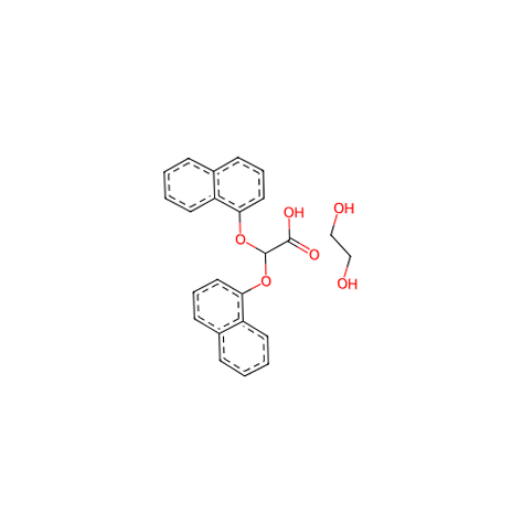 O=C(O)C(Oc1cccc2ccccc12)Oc1cccc2ccccc12.OCCO